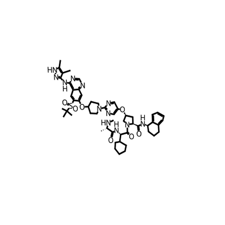 CN[C@@H](C)C(=O)N[C@H](C(=O)N1C[C@@H](Oc2cnc(N3CCC(Oc4cc5ncnc(Nc6n[nH]c(C)c6C)c5cc4S(=O)(=O)C(C)(C)C)CC3)nc2)C[C@H]1C(=O)N[C@@H]1CCCc2ccccc21)C1CCCCC1